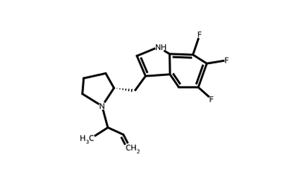 C=CC(C)N1CCC[C@@H]1Cc1c[nH]c2c(F)c(F)c(F)cc12